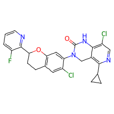 O=C1Nc2c(Cl)cnc(C3CC3)c2CN1c1cc2c(cc1Cl)CCC(c1ncccc1F)O2